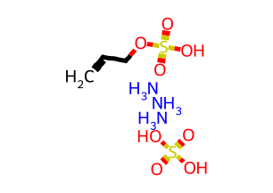 C=CCOS(=O)(=O)O.N.N.N.O=S(=O)(O)O